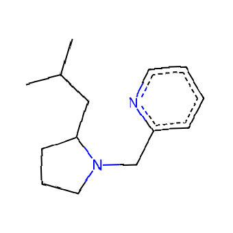 CC(C)CC1CCCN1Cc1ccccn1